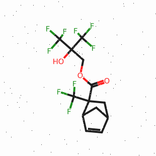 O=C(OCC(O)(C(F)(F)F)C(F)(F)F)C1(C(F)(F)F)CC2C=CC1C2